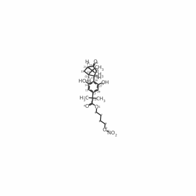 CC(C)(C(=O)OCCCCO[N+](=O)[O-])c1cc(O)c([C@@H]2CC(=O)[C@@H]3C[C@@H]2C3(C)C)c(O)c1